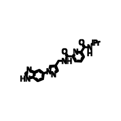 CC(C)NC(=O)c1cccc(C(=O)NCc2cnn(-c3ccc4[nH]cnc4c3)c2)n1